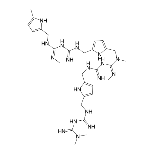 C/N=C(/NCc1ccc(C)[nH]1)NC(=N)NCc1ccc(CN(C)/C(=N/C)NC(=N)NCc2ccc(CNC(=N)NC(=N)N(C)C)[nH]2)[nH]1